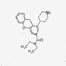 CCN(CC)C(=O)c1cc2c(c(C3CCNCC3)c1)Cc1ccccc1O2